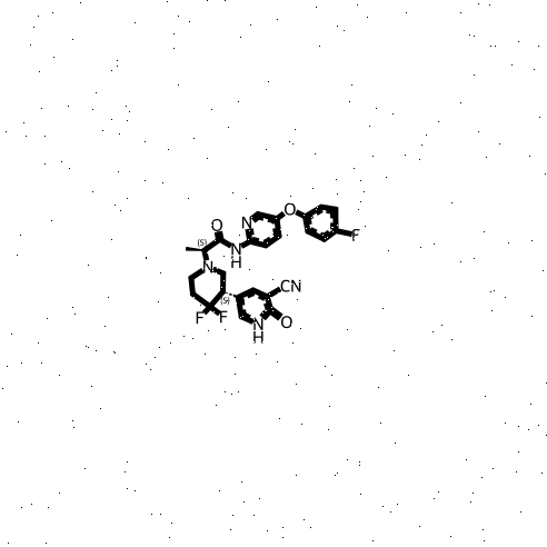 C[C@@H](C(=O)Nc1ccc(Oc2ccc(F)cc2)cn1)N1CCC(F)(F)[C@@H](c2c[nH]c(=O)c(C#N)c2)C1